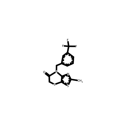 Cc1nc2c(s1)SCC(=O)N2Cc1cccc(C(F)(F)F)c1